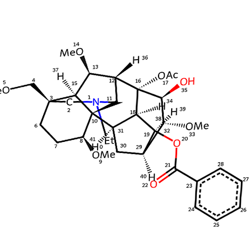 CCN1C[C@]2(COC)CC[C@H](OC)[C@]34C1[C@H]([C@H](OC)[C@H]23)[C@]1(OC(C)=O)[C@H]2[C@@H](OC(=O)c3ccccc3)[C@H](C[C@H]24)[C@@H](OC)[C@@H]1O